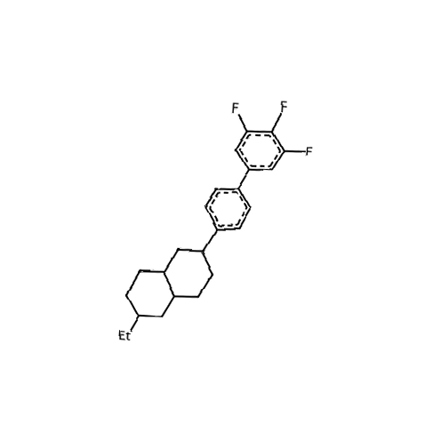 CCC1CCC2CC(c3ccc(-c4cc(F)c(F)c(F)c4)cc3)CCC2C1